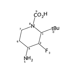 CC(C)(C)C1C(F)C(N)CCN1C(=O)O